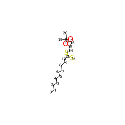 CCCCCCCCCCCC(=S)SCC1COC(C)(C)O1